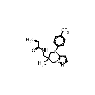 C=CC(=O)NCC1(C)CN(c2ccc(C(F)(F)F)cc2)c2ccnn2C1